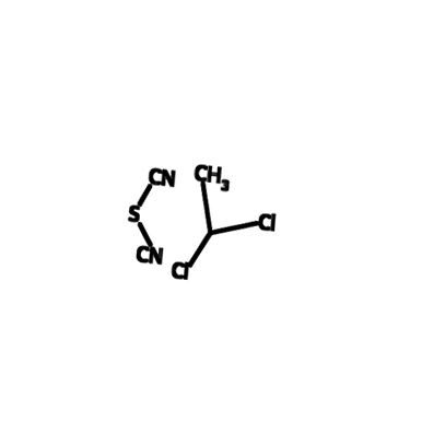 CC(Cl)Cl.N#CSC#N